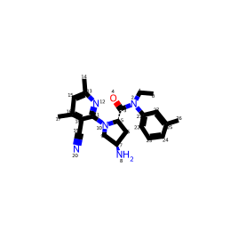 CCN(C(=O)[C@@H]1C[C@@H](N)CN1c1nc(C)cc(C)c1C#N)c1cccc(C)c1